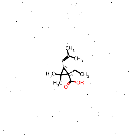 CC[C@]1(C(=O)O)[C@@H](C=C(C)C)C1(C)C